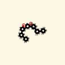 C1=C2Oc3ccc(-c4cccc(-c5ccccc5)c4)cc3C2Cc2c1oc1ccc(-c3cccc(-c4ccccc4)c3)cc21